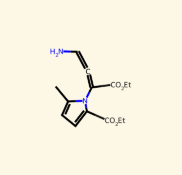 CCOC(=O)C(=C=CN)n1c(C)ccc1C(=O)OCC